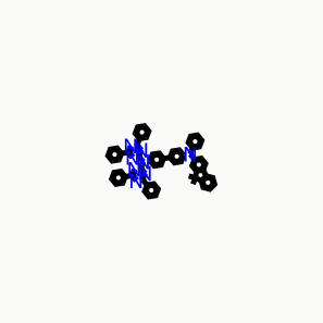 CC1(C)c2ccccc2-c2ccc(N(c3ccccc3)c3ccc(-c4ccc(N(c5nc(-c6ccccc6)nc(-c6ccccc6)n5)c5nc(-c6ccccc6)nc(-c6ccccc6)n5)cc4)cc3)cc21